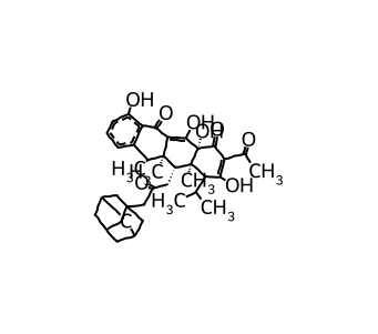 CC(=O)C1=C(O)C(C(C)C)[C@@]2(C)[C@H](CC(=O)CC34CC5CC(CC(C5)C3)C4)[C@]3(C)C(=C(O)[C@@]2(O)C1=O)C(=O)c1c(O)cccc1[C@H]3C